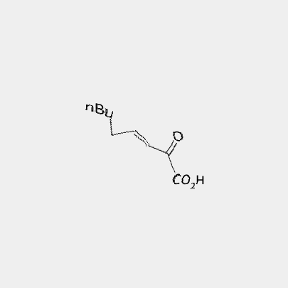 CCCCC/C=C/C(=O)C(=O)O